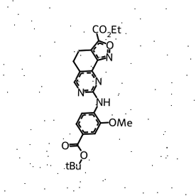 CCOC(=O)c1onc2c1CCc1cnc(Nc3ccc(C(=O)OC(C)(C)C)cc3OC)nc1-2